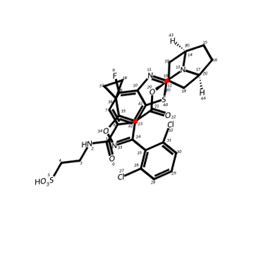 O=C(NCCS(=O)(=O)O)c1cc(F)c2nc(N3[C@@H]4CC[C@H]3C[C@@H](OC(=O)c3c(-c5c(Cl)cccc5Cl)noc3C3CC3)C4)sc2c1